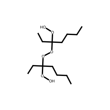 CCCCC(CC)(OO)OOC(CC)(CCCC)OO